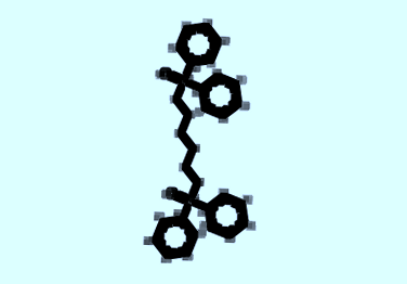 O=P(CCCCCCP(=O)(c1ccccc1)c1ccccc1)(c1ccccc1)c1ccccc1